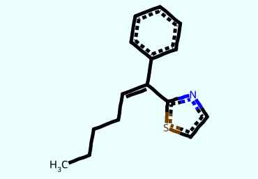 CCCC/C=C(/c1ccccc1)c1nccs1